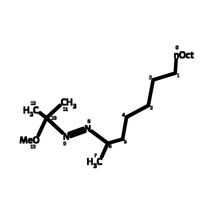 CCCCCCCCCCCCCC(C)N=NC(C)(C)OC